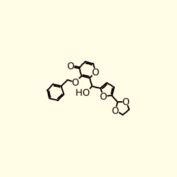 O=c1ccoc(C(O)c2ccc(C3OCCO3)o2)c1OCc1ccccc1